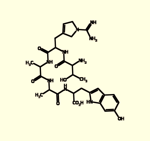 CC(NC(=O)C(C)NC(=O)C(CC1=CCN(C(=N)N)C1)NC(=O)C(N)C(C)O)C(=O)NC(Cc1cc2ccc(O)cc2[nH]1)C(=O)O